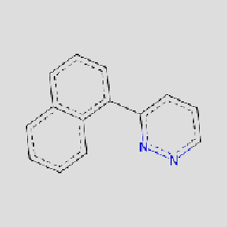 c1cnnc(-c2cccc3ccccc23)c1